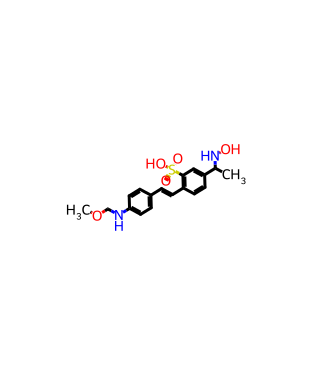 COCNc1ccc(C=Cc2ccc(C(C)NO)cc2S(=O)(=O)O)cc1